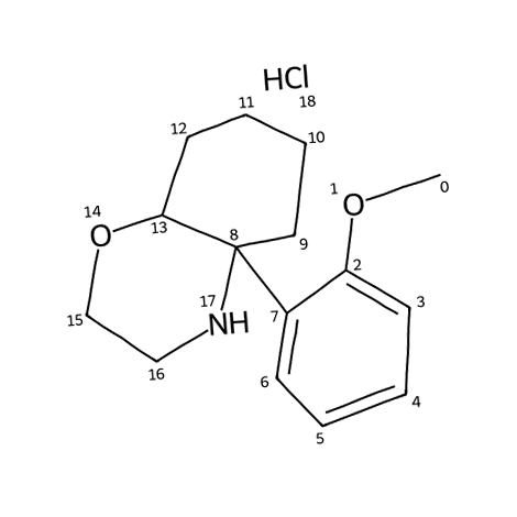 COc1ccccc1C12CCCCC1OCCN2.Cl